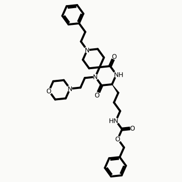 O=C(NCCC[C@@H]1NC(=O)C2(CCN(CCc3ccccc3)CC2)N(CCN2CCOCC2)C1=O)OCc1ccccc1